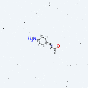 CC(=O)/C=C/c1ccc(N)cc1